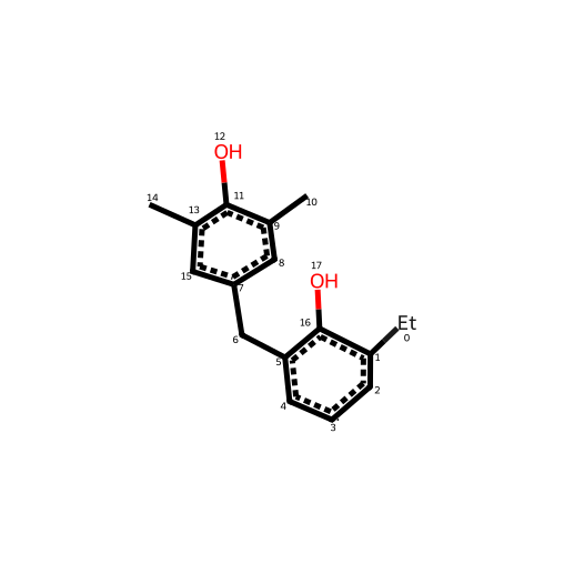 CCc1c[c]cc(Cc2cc(C)c(O)c(C)c2)c1O